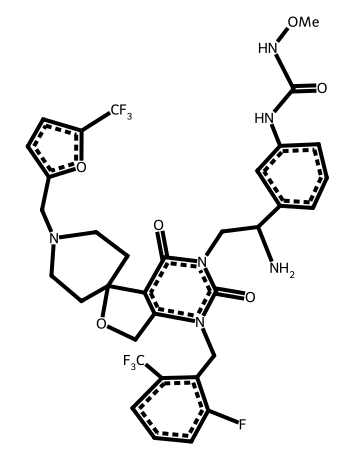 CONC(=O)Nc1cccc(C(N)Cn2c(=O)c3c(n(Cc4c(F)cccc4C(F)(F)F)c2=O)COC32CCN(Cc3ccc(C(F)(F)F)o3)CC2)c1